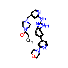 O=C(CC(F)(F)F)N1CCN(Cc2ccnc(Nc3nc4ccc(-c5ccnc(N6CCOCC6)c5)cc4[nH]3)c2)CC1